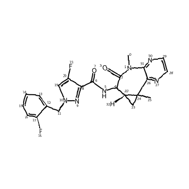 CN1C(=O)C(NC(=O)c2nn(Cc3ccccc3F)cc2F)[C@H]2CC2(C)c2nccnc21